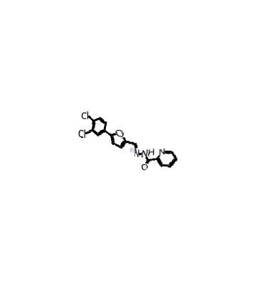 O=C(N/N=C/c1ccc(-c2ccc(Cl)c(Cl)c2)o1)c1ccccn1